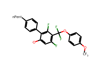 CCCCCc1ccc(-c2c([O])cc(F)c(C(F)(F)Oc3ccc(OC(F)(F)F)cc3)c2F)cc1